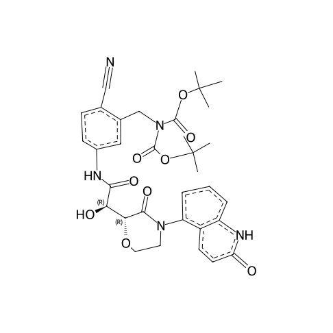 CC(C)(C)OC(=O)N(Cc1cc(NC(=O)[C@H](O)[C@H]2OCCN(c3cccc4[nH]c(=O)ccc34)C2=O)ccc1C#N)C(=O)OC(C)(C)C